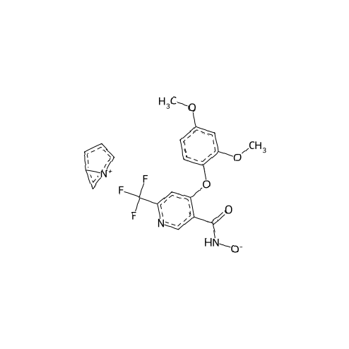 COc1ccc(Oc2cc(C(F)(F)F)ncc2C(=O)N[O-])c(OC)c1.c1cc2c[n+]-2c1